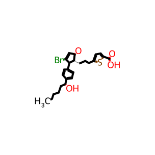 CCCCCC(O)c1ccc(C2C(Br)=CC(=O)[C@@H]2CCCc2ccc(C(=O)O)s2)cc1